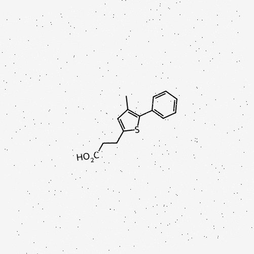 Cc1cc(CCC(=O)O)sc1-c1ccccc1